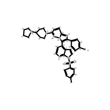 Cc1ccc(S(=O)(=O)n2ccc3c(-c4c(-c5ccc(F)cc5)nc5ccc(N6CCC(N7CCCC7)CC6)nn45)ccnc32)cc1